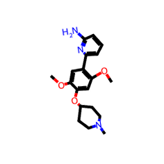 COc1cc(-c2cccc(N)n2)c(OC)cc1OC1CCN(C)CC1